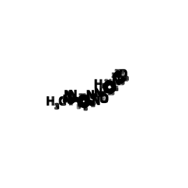 Cn1cc(-c2ccc3cnc(NC(=O)[C@H]4CC[C@H](N5CCOCC5)CC4)nc3c2)nn1